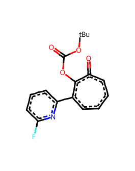 CC(C)(C)OC(=O)Oc1c(-c2cccc(F)n2)ccccc1=O